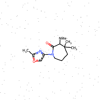 CNC1C(=O)N(c2coc(C)n2)CCCC1(C)C